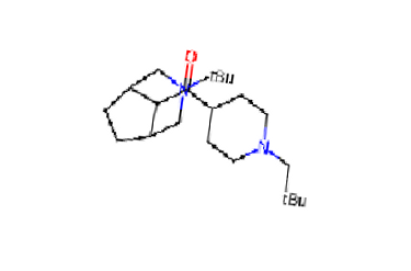 CC(C)(C)CN1CCC(C(=O)C2C3CCC2CN(C(C)(C)C)C3)CC1